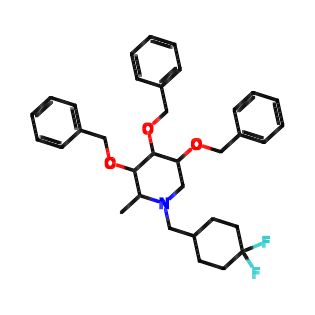 CC1C(OCc2ccccc2)C(OCc2ccccc2)C(OCc2ccccc2)CN1CC1CCC(F)(F)CC1